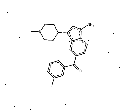 Cc1cccc(C(=O)c2ccc3c(c2)c(C2CCN(C)CC2)cn3N)c1